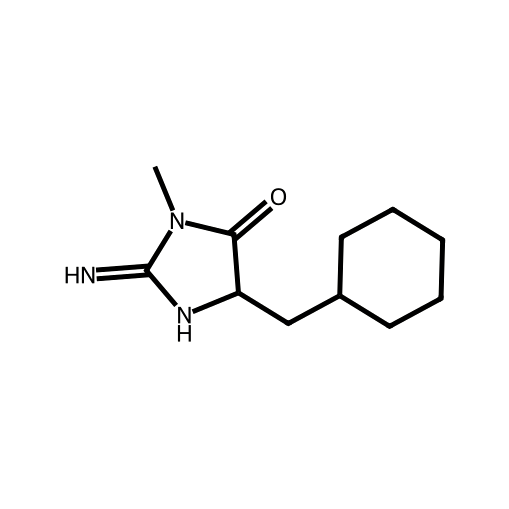 CN1C(=N)NC(CC2CCCCC2)C1=O